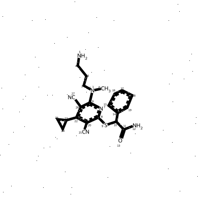 CN(CCCN)c1nc(SC(C(N)=O)c2ccccc2)c(C#N)c(C2CC2)c1C#N